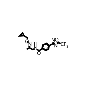 CC(CNC(=O)c1ccc(-c2noc(C(F)(F)F)n2)cc1)=NOCC1CC1